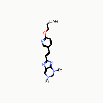 CCN1C=C2N=C(C=Cc3ccc(OCCOC)nc3)N=C2N(CC)C1